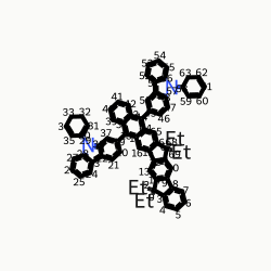 CCC1(CC)c2ccccc2-c2cc3c(cc21)-c1cc2c(-c4ccc5c6ccccc6n(C6=CCCC=C6)c5c4)c4ccccc4c(-c4ccc5c(c4)c4ccccc4n5C4C=CC=CC4)c2cc1C3(CC)CC